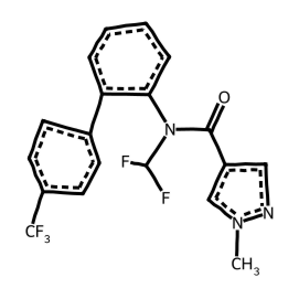 Cn1cc(C(=O)N(c2ccccc2-c2ccc(C(F)(F)F)cc2)C(F)F)cn1